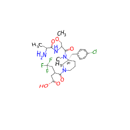 COCC(NC(=O)C(C)N)C(=O)N(C)[C@@]1(Cc2ccc(Cl)cc2)CCCN(C(=O)C(CC(=O)O)CC(F)(F)F)C1